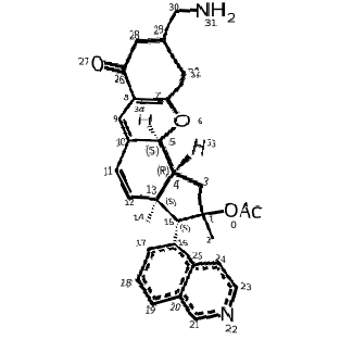 CC(=O)OC1(C)C[C@H]2[C@@H]3OC4=C(C=C3C=C[C@]2(C)[C@H]1c1cccc2cnccc12)C(=O)CC(CN)C4